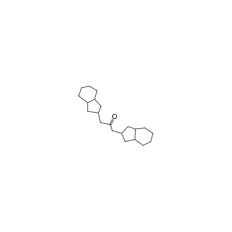 O=C(CC1CC2CCCCC2C1)CC1CC2CCCCC2C1